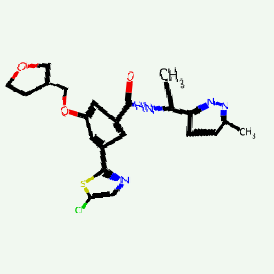 Cc1ccc(C(C)NC(=O)c2cc(OC[C@H]3CCOC3)cc(-c3ncc(Cl)s3)c2)nn1